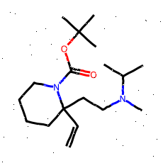 C=CC1(CCN(C)C(C)C)CCCCN1C(=O)OC(C)(C)C